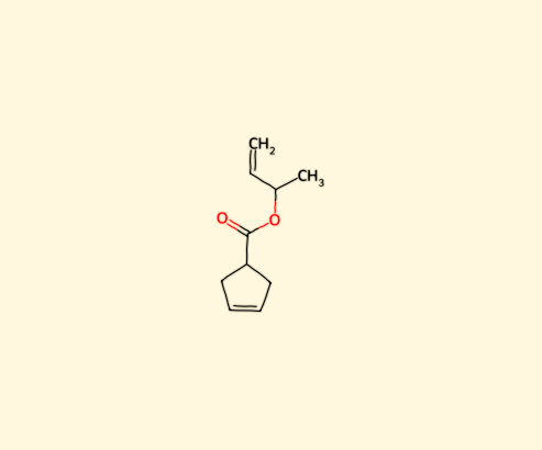 C=CC(C)OC(=O)C1CC=CC1